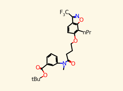 CCCc1c(OCCCC(=O)N(C)c2cccc(C(=O)OC(C)(C)C)c2)ccc2c(C(F)(F)F)noc12